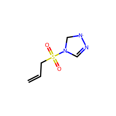 C=CCS(=O)(=O)N1C=N[N]C1